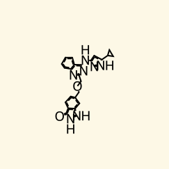 O=c1[nH][nH]c2cc(COCc3nc(Nc4cc(C5CC5)[nH]n4)c4ccccc4n3)ccc12